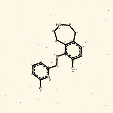 Clc1cccc(CSc2c(Cl)ccc3c2CCNCC3)n1